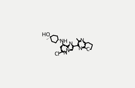 Cc1nc2c(nc1-c1cn3nc(Cl)cc(N[C@H]4CC[C@](C)(O)CC4)c3n1)CCCC2